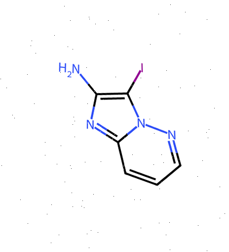 Nc1nc2cccnn2c1I